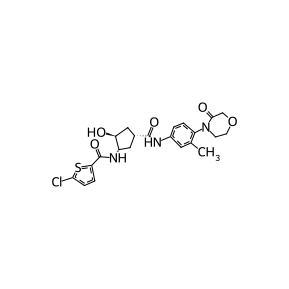 Cc1cc(NC(=O)[C@@H]2C[C@H](NC(=O)c3ccc(Cl)s3)[C@@H](O)C2)ccc1N1CCOCC1=O